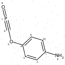 Nc1ccc(OC#P=O)cc1